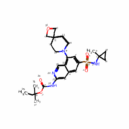 CC1(NS(=O)(=O)c2cc(N3CCC4(CC3)COC4)c3cnc(NC(=O)OC(C)(C)C)cc3c2)CC1